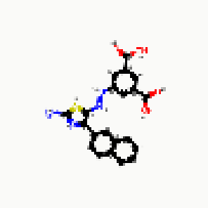 Nc1nc(-c2ccc3ccccc3c2)c(N=Nc2cc(C(=O)O)cc(C(=O)O)c2)s1